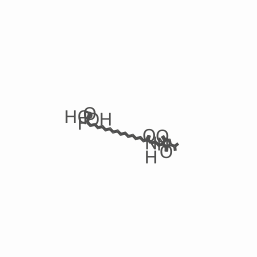 CC(C)C1CC(=O)N(CCNC(=O)CCCCCCCCCCCCCCCC(F)P(=O)(O)O)C1=O